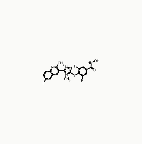 Cc1nc2ccc(F)cc2cc1-c1nnc(Sc2c(F)cc(C(=O)NO)cc2F)n1C